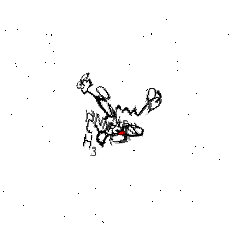 CC(Nc1ncnc2c1cc(C1CCS(=O)(=O)CC1)c(=O)n2CCCCCCC1OCCO1)c1cccc(C(F)(F)C2CC3CCC(C2)N3C(=O)OC(C)(C)C)c1F